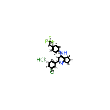 Cl.FC(F)(F)Cc1ccc(Nc2cc(-c3cccc(Cl)c3)nc3c2CCC3)cc1